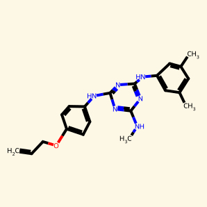 C=CCOc1ccc(Nc2nc(NC)nc(Nc3cc(C)cc(C)c3)n2)cc1